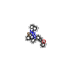 c1ccc2c(-c3nc(-n4c5ccccc5c5c6cc7c(cc6ccc54)oc4ccccc47)c4c(n3)sc3ccccc34)cccc2c1